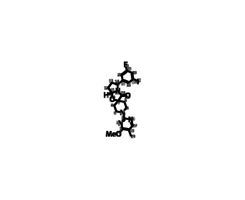 COc1nc(N2CCC3(CC2)O[C@@H]2CC[C@@H](c4cc(F)cc(F)c4)N2C3=O)ncc1C